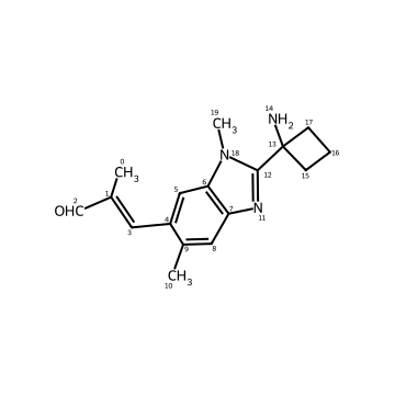 C/C(C=O)=C\c1cc2c(cc1C)nc(C1(N)CCC1)n2C